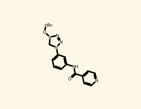 CCCCON1CN(c2cccc(NC(=O)c3ccncc3)c2)N=N1